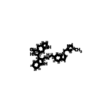 Cn1cnc(Cn2ccc3ccc(CNCc4[nH]c5ccccc5c4C4NC(=O)c5cc6cc[nH]c6cc54)cc32)c1